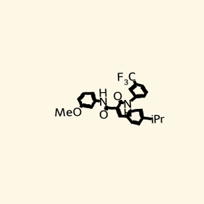 COc1cccc(NC(=O)C(=Cc2ccc(C(C)C)cc2)C(=O)Nc2cccc(C(F)(F)F)c2)c1